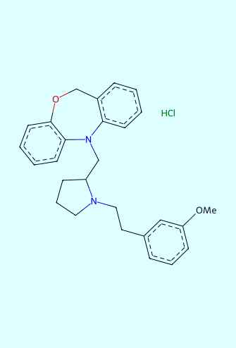 COc1cccc(CCN2CCCC2CN2c3ccccc3COc3ccccc32)c1.Cl